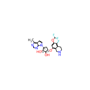 Cc1ncnc2c1ccn2[C@@H]1C[C@H](Oc2cc(OC(F)F)c(F)c3c2CNCC3)[C@@H](O)[C@H]1O